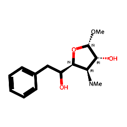 CN[C@@H]1[C@@H](O)[C@@H](OC)O[C@@H]1C(O)Cc1ccccc1